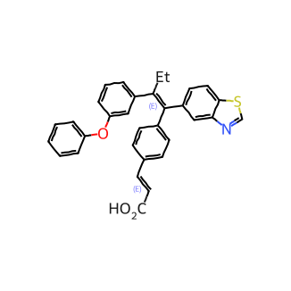 CC/C(=C(/c1ccc(/C=C/C(=O)O)cc1)c1ccc2scnc2c1)c1cccc(Oc2ccccc2)c1